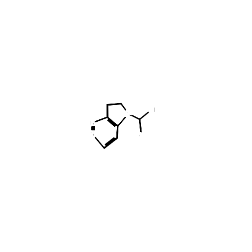 CC(C)N1CCc2nnccc21